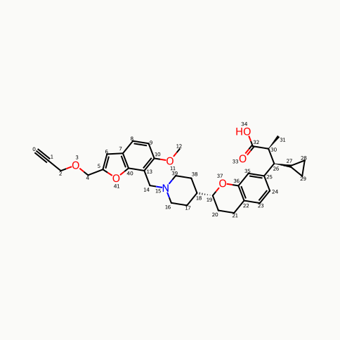 C#CCOCc1cc2ccc(OC)c(CN3CCC([C@H]4CCc5ccc([C@H](C6CC6)[C@H](C)C(=O)O)cc5O4)CC3)c2o1